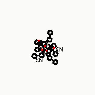 N#Cc1ccccc1-c1ccc(-n2c3ccc(-c4ccccc4)cc3c3cc(-c4ccccc4)ccc32)c(-c2nc(-c3ccccc3-c3ccccc3C#N)nc(-c3cc(-c4ccccc4C#N)ccc3-n3c4ccc(-c5ccccc5)cc4c4cc(-c5ccccc5)ccc43)n2)c1